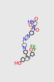 O=C1CC[C@H](N2Cc3cc(N4CCN(CC5CCN(c6ccc([C@@H]7c8ccc(O)cc8CC[C@@H]7c7cccc(OC(F)(F)F)c7)cc6)CC5)CC4)ccc3C2=O)C(=O)N1